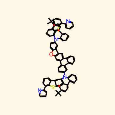 CC(C)(C)c1ccc(-c2ccccc2N(c2ccc3sc4c(-c5ccccn5)cccc4c3c2)c2ccc3c(c2)c2ccccc2c2cc4c(cc32)oc2ccc(N(c3ccccc3-c3ccc(C(C)(C)C)cc3)c3cccc5c3sc3c(-c6ccccn6)cccc35)cc24)cc1